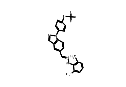 Cc1cccc(C)c1N/N=C/c1ccc2c(cnn2-c2ccc(OC(F)(F)F)cc2)c1